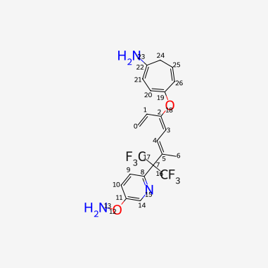 C=C/C(=C\C=C(/C)C(c1ccc(ON)cn1)(C(F)(F)F)C(F)(F)F)OC1=CC=C(N)CC=C1